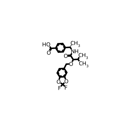 CC(C)C(OCc1ccc2c(c1)OC(F)(F)O2)C(=O)N[C@@H](C)c1ccc(C(=O)O)cc1